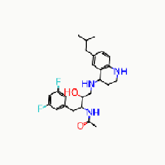 CC(=O)NC(Cc1cc(F)cc(F)c1)C(O)CNC1CCNc2ccc(CC(C)C)cc21